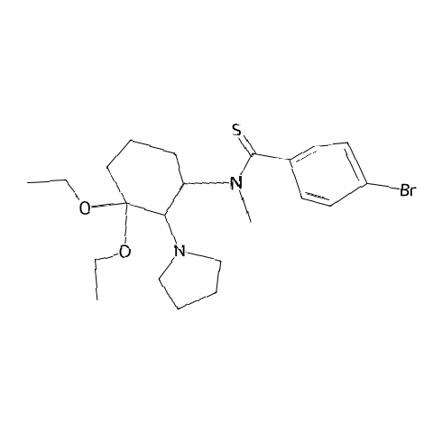 CCOC1(OCC)CCCC(N(C)C(=S)c2ccc(Br)cc2)C1N1CCCC1